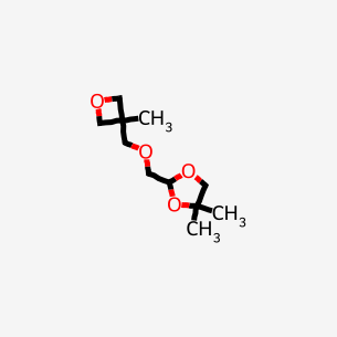 CC1(COCC2OCC(C)(C)O2)COC1